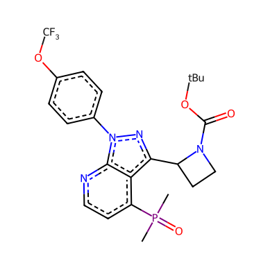 CC(C)(C)OC(=O)N1CCC1c1nn(-c2ccc(OC(F)(F)F)cc2)c2nccc(P(C)(C)=O)c12